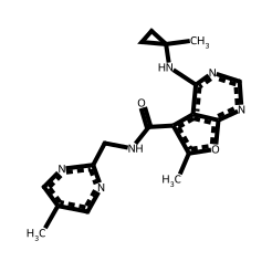 Cc1cnc(CNC(=O)c2c(C)oc3ncnc(NC4(C)CC4)c23)nc1